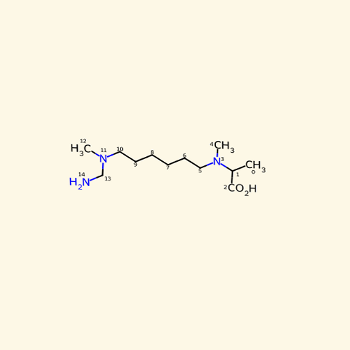 CC(C(=O)O)N(C)CCCCCCN(C)CN